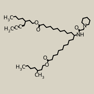 C=C=C=CC(CCCC)CCOC(=O)CCCCCCCCCC(CCCCCCCCCC(=O)OCCC(C)CCCC)NC(=O)CN1CCCCC1